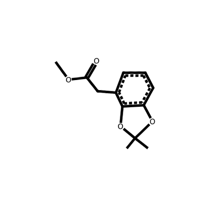 COC(=O)Cc1cccc2c1OC(C)(C)O2